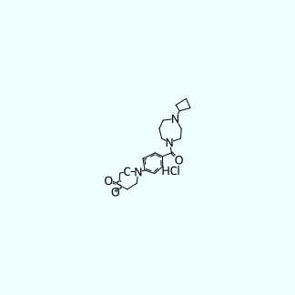 Cl.O=C(c1ccc(N2CCS(=O)(=O)CC2)cc1)N1CCCN(C2CCC2)CC1